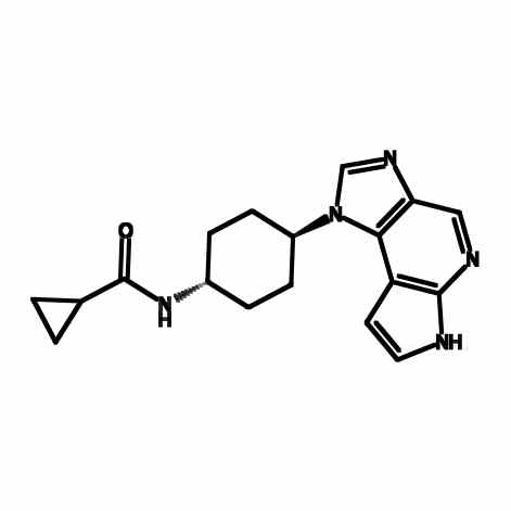 O=C(N[C@H]1CC[C@H](n2cnc3cnc4[nH]ccc4c32)CC1)C1CC1